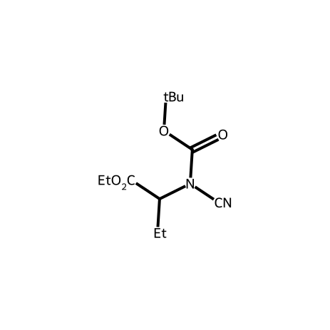 CCOC(=O)C(CC)N(C#N)C(=O)OC(C)(C)C